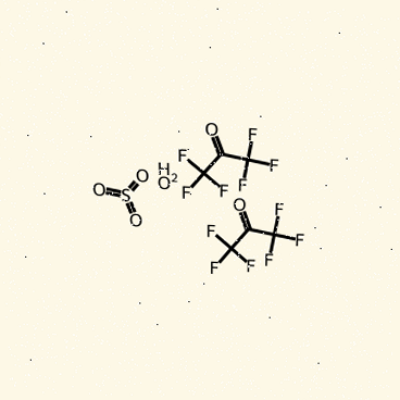 O.O=C(C(F)(F)F)C(F)(F)F.O=C(C(F)(F)F)C(F)(F)F.O=S(=O)=O